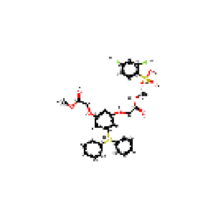 CC(C)(C)OC(=O)COc1cc(OCC(=O)OC(C)(C)C)cc([S+](c2ccccc2)c2ccccc2)c1.O=S(=O)([O-])c1ccc(F)cc1F